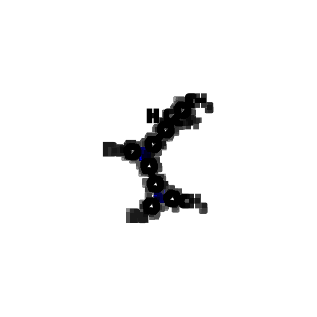 CCC(C)c1ccc(N(c2ccc(C)cc2)c2ccc(-c3ccc(N(c4ccc(-c5ccc(C(C)(CC(C)C)c6ccc(C)cc6)cc5)cc4)c4ccc(C(C)CC)cc4)cc3)cc2)cc1